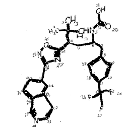 CC(C)(C)[C@@H](CC(Cc1ccc(C(F)(F)F)cc1)NC(=O)O)c1nc(-c2ccc3cnccc3c2)no1